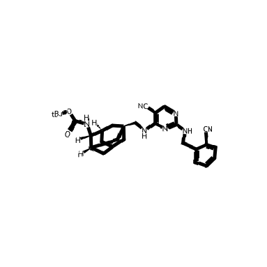 CC(C)(C)OC(=O)N[C@@H]1[C@@H]2CC3C[C@H]1C[C@@](CNc1nc(NCc4ccccc4C#N)ncc1C#N)(C3)C2